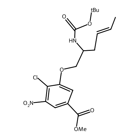 CC=CCC(COc1cc(C(=O)OC)cc([N+](=O)[O-])c1Cl)NC(=O)OC(C)(C)C